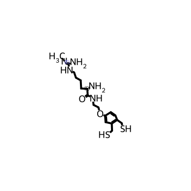 C/N=C(\N)NCCCC[C@H](N)C(=O)NCCOc1ccc(CS)c(CS)c1